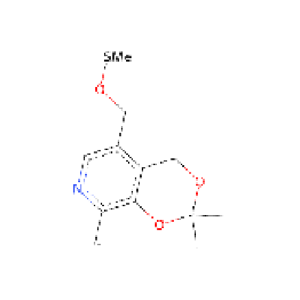 [CH2]c1ncc(COSC)c2c1OC(C)(C)OC2